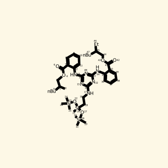 CCCCC(C)COC(=O)c1ccccc1Nc1nc(NCC[Si](C)(O[Si](C)(C)C)O[Si](C)(C)C)nc(Nc2ccccc2C(=O)OCC(CC)CCCC)n1